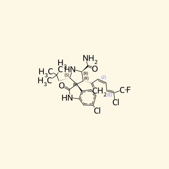 C=C(/C=C\C=C(\Cl)CF)[C@H]1[C@H](C(N)=O)N[C@@H](CC(C)(C)C)[C@@]12C(=O)Nc1cc(Cl)ccc12